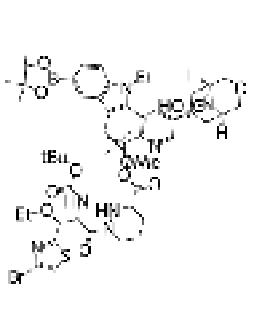 CCO[C@H](c1nc(Br)cs1)[C@H](NC(=O)OC(C)(C)C)C(=O)N1CCC[C@@H](C(=O)OCC(C)(C)Cc2c(-c3cc([C@@H]4C[C@H]5COC[C@@H](C4)N5C(=O)O)cnc3[C@H](C)OC)n(CC)c3ccc(B4OC(C)(C)C(C)(C)O4)cc23)N1